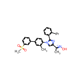 C/C(=N\O)c1cn(-c2ccc(-c3cccc(S(C)(=O)=O)c3)cc2C)c(-c2ccccc2C(C)C)n1